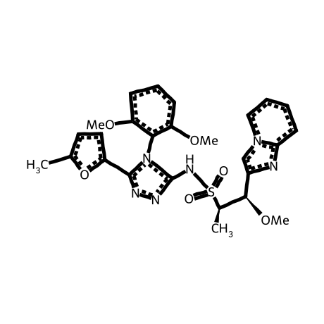 COc1cccc(OC)c1-n1c(NS(=O)(=O)[C@H](C)[C@H](OC)c2cn3ccccc3n2)nnc1-c1ccc(C)o1